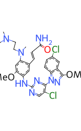 COc1cc(N(C)CCN(C)C)c(C=CC(N)=O)cc1Nc1ncc(Cl)c(-n2nc(OC)c3cc(Cl)ccc32)n1